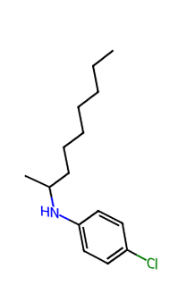 CCCCCCCC(C)Nc1ccc(Cl)cc1